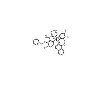 O=C1c2c(OCc3ccccc3)c(=O)ccn2N([C@H]2c3ccc(F)c(F)c3CSc3c2ccc2ccccc32)[C@@H]2COCCN12